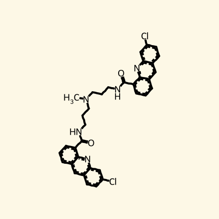 CN(CCCNC(=O)c1cccc2cc3ccc(Cl)cc3nc12)CCCNC(=O)c1cccc2cc3ccc(Cl)cc3nc12